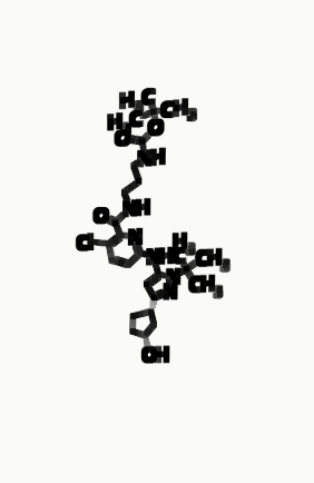 CC(C)(C)OC(=O)NCCCNC(=O)c1nc(Nc2cc([C@H]3CC[C@@H](O)C3)nn2C(C)(C)C)ccc1Cl